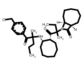 CCCC(C)(N[C@H]1CCCCCC[C@H]1C(=O)C(C)(CC)N1C(=O)[C@@H]2CCCCCC[C@@H]21)C(=O)c1ccc(CCl)cc1